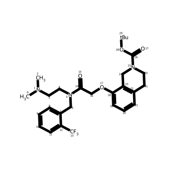 CN(C)CCN(Cc1ccccc1C(F)(F)F)C(=O)COc1cccc2c1CN(C(=O)OC(C)(C)C)CC2